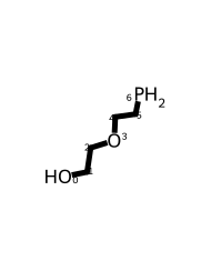 OCCOCCP